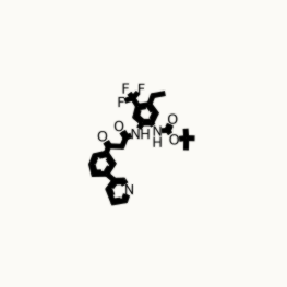 CCc1cc(NC(=O)OC(C)(C)C)c(NC(=O)CC(=O)c2cccc(-c3cccnc3)c2)cc1C(F)(F)F